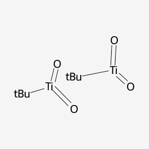 C[C](C)(C)[Ti](=[O])=[O].C[C](C)(C)[Ti](=[O])=[O]